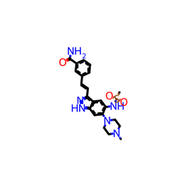 CN1CCN(c2cc3[nH]nc(C=Cc4cccc(C(N)=O)c4)c3cc2NS(C)(=O)=O)CC1